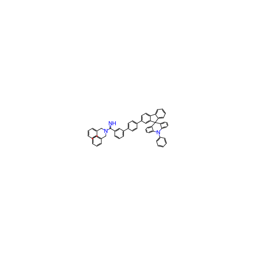 N=C(c1cccc(-c2ccc(-c3ccc4c(c3)C3(c5ccccc5-4)c4ccccc4N(c4ccccc4)c4ccccc43)cc2)c1)N(Cc1ccccc1)Cc1ccccc1